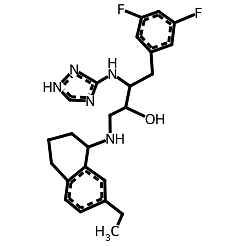 CCc1ccc2c(c1)C(NCC(O)C(Cc1cc(F)cc(F)c1)Nc1nc[nH]n1)CCC2